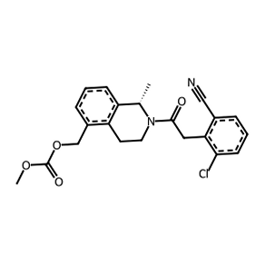 COC(=O)OCc1cccc2c1CCN(C(=O)Cc1c(Cl)cccc1C#N)[C@H]2C